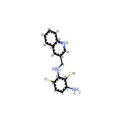 Nc1ccc(F)c(NCc2cnc3ccccc3c2)c1F